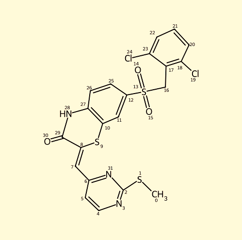 CSc1nccc(C=C2Sc3cc(S(=O)(=O)Cc4c(Cl)cccc4Cl)ccc3NC2=O)n1